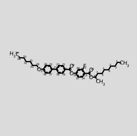 CCCCCCCCC(C)OC(=O)c1ccc(OC(=O)c2ccc(-c3ccc(OCCCCCCC)cc3)cc2)cc1F